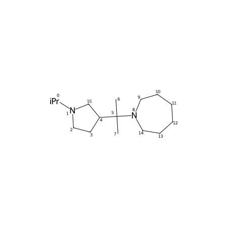 CC(C)N1CCC(C(C)(C)N2CCCCCC2)C1